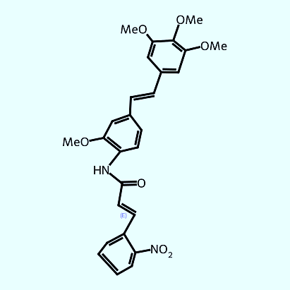 COc1cc(C=Cc2cc(OC)c(OC)c(OC)c2)ccc1NC(=O)/C=C/c1ccccc1[N+](=O)[O-]